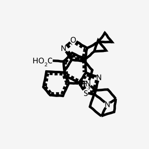 O=C(O)c1cc(C2CC2)c2nc(N3C4CC(NCc5c(-c6ccccc6C(F)(F)F)noc5C5CC5)CC3C4)sc2c1